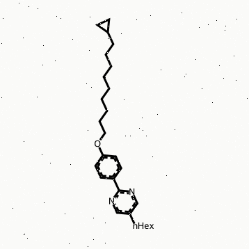 CCCCCCc1cnc(-c2ccc(OCCCCCCCCCC3CC3)cc2)nc1